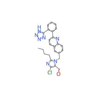 CCCCc1nc(Cl)c(C=O)n1Cc1ccc2nc(-c3ccccc3-c3nnn[nH]3)ccc2c1